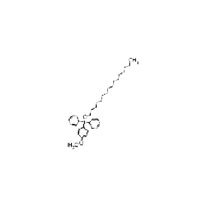 CCCCCCCCCCCCCCCCOC(c1ccccc1)(c1ccccc1)c1ccc(OC)cc1